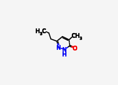 CCCc1cc(C)c(=O)[nH]n1